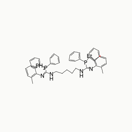 CCc1cccc(C)c1/N=C(/NCCCCCN/C(=N/c1c(C)cccc1P)P(c1ccccc1)c1ccccc1)P(c1ccccc1)c1ccccc1